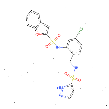 O=S(=O)(NCc1ccc(Cl)cc1NS(=O)(=O)c1cc2ccccc2o1)c1ccn[nH]1